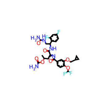 CC(OC(N)=O)c1oc(-c2ccc(OC(F)F)c(OCC3CC3)c2)nc1C(=O)NC(CNC(N)=O)c1ccc(F)cc1F